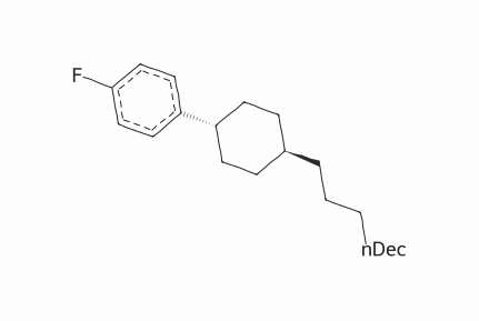 CCCCCCCCCCCCC[C@H]1CC[C@H](c2ccc(F)cc2)CC1